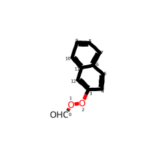 O=COOc1ccc2ccccc2c1